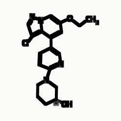 CCOc1cc(-c2ccc(N3CCC[C@@H](O)C3)nc2)c2c(Cl)cnn2c1